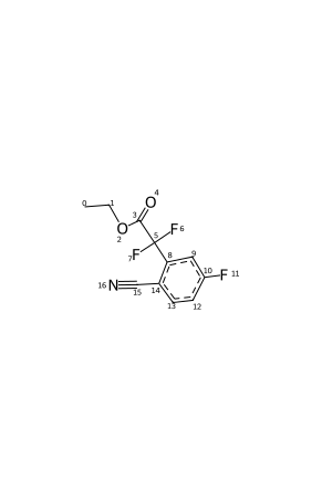 CCOC(=O)C(F)(F)c1cc(F)ccc1C#N